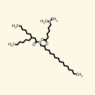 CCCCCCCCCCCCCCC(COC(=O)CC(CCCCCC)CCCCCC)OC(=O)CCCCCN(C)C